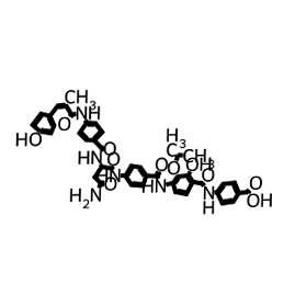 CC(=Cc1ccc(O)cc1)C(=O)Nc1ccc(C(=O)NC(CC(N)=O)C(=O)Nc2ccc(C(=O)Nc3ccc(C(=O)Nc4ccc(C(=O)O)cc4)c(O)c3OC(C)C)cc2)cc1